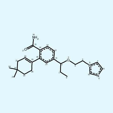 CCC(OCCn1ccnc1)c1ccc(C(N)=O)c(C2=CCC(C)(C)CC2)c1